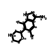 Nc1n[nH]c2c(F)c(C3CNCCO3)c(Br)cc12